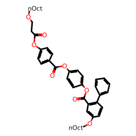 CCCCCCCCOCCC(=O)Oc1ccc(C(=O)Oc2ccc(OC(=O)c3cc(OCCCCCCCC)ccc3-c3ccccc3)cc2)cc1